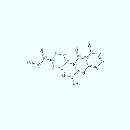 CCC(N)c1nc2cccc(Cl)c2c(=O)n1C1CCN(C(=O)OC(C)(C)C)CC1